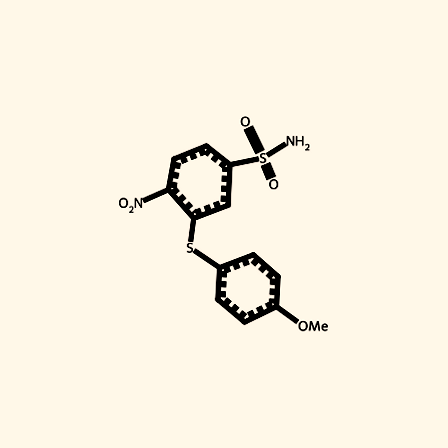 COc1ccc(Sc2cc(S(N)(=O)=O)ccc2[N+](=O)[O-])cc1